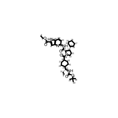 CCOC(=O)c1cc2nc(NC(=O)[C@@H]3[C@H](C4CCCCC4)CCN3C(=O)C3CCC([C@@H](CF)NC(=O)OC(C)(C)C)CC3)ccc2[nH]1